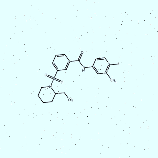 Cc1cc(NC(=O)c2cccc(S(=O)(=O)N3CCCCC3CO)c2)ccc1F